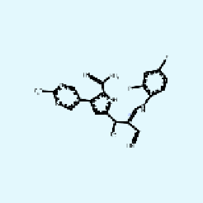 CCC(/C(C=N)=C/Nc1ccc(F)cc1F)c1cc(-c2cnc(C(F)(F)F)nc2)c(C(=N)N)[nH]1